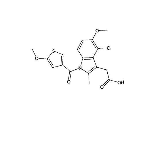 COc1cc(C(=O)n2c(C)c(CC(=O)O)c3c(Cl)c(OC)ccc32)cs1